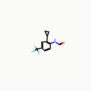 O=CNc1ccc(C(F)(F)F)cc1C1CC1